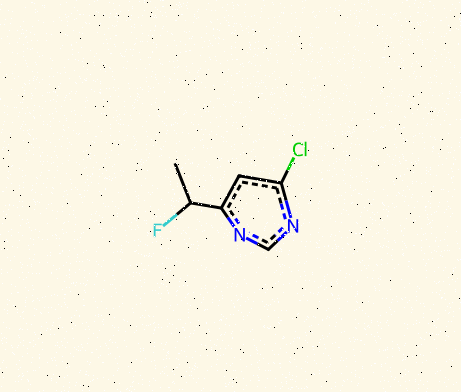 CC(F)c1cc(Cl)ncn1